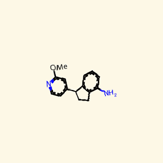 COc1cc(C2CCc3c(N)cccc32)ccn1